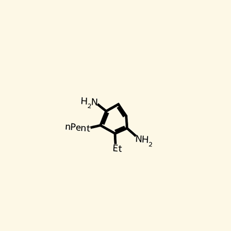 CCCCCc1c(N)ccc(N)c1CC